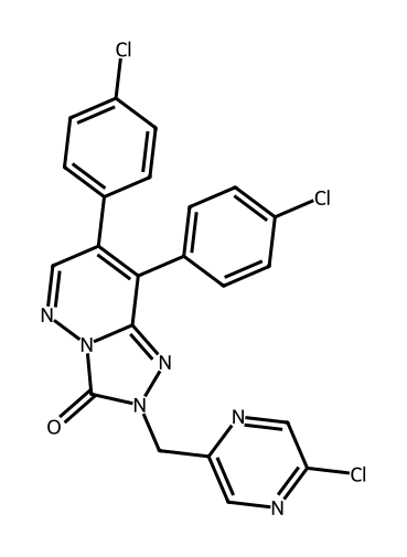 O=c1n(Cc2cnc(Cl)cn2)nc2c(-c3ccc(Cl)cc3)c(-c3ccc(Cl)cc3)cnn12